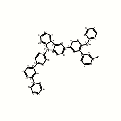 Cc1cccc(C2=C(Nc3ccccc3)CCC(c3ccc4c(c3)c3ccccc3n4-c3ccc(-c4cccc(-c5ccccc5)c4)cc3)=C2)c1